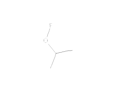 [CH2]C(C)OF